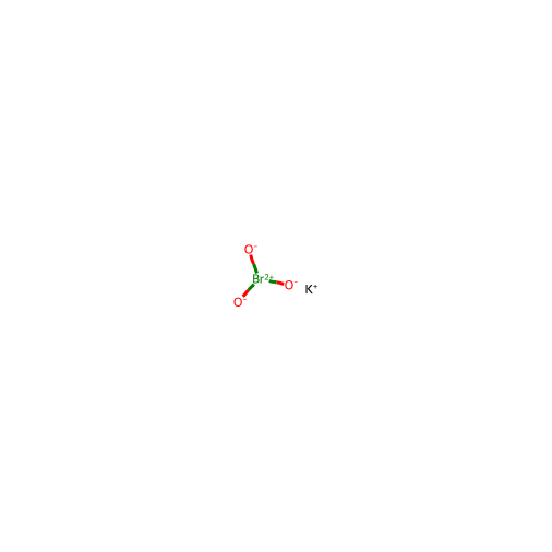 [K+].[O-][Br+2]([O-])[O-]